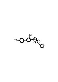 CCCc1ccc(-c2ccc(-c3ccc(OCC4CCCC4)s3)c(F)c2)cc1